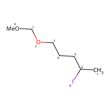 COCOCCCC(C)I